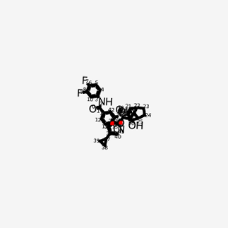 O=C(Nc1ccc(F)c(F)c1)c1ccc(Cl)c(S(=O)(=O)[C@H]2CC3CCC(C2)[C@]3(O)C(O)C(O)c2ccc(C3CC3)cn2)c1